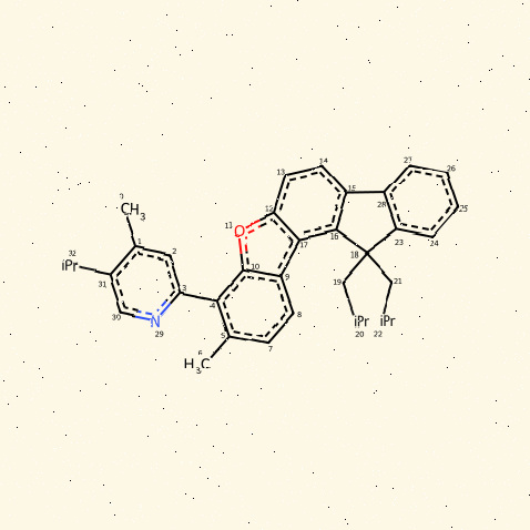 Cc1cc(-c2c(C)ccc3c2oc2ccc4c(c23)C(CC(C)C)(CC(C)C)c2ccccc2-4)ncc1C(C)C